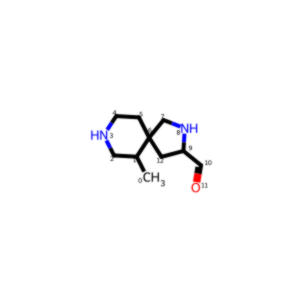 CC1CNCCC12CNC(C=O)C2